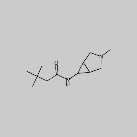 CN1CC2C(C1)C2NC(=O)CC(C)(C)C